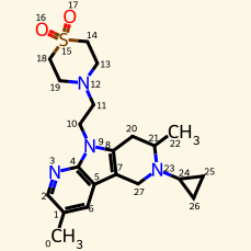 Cc1cnc2c(c1)c1c(n2CCN2CCS(=O)(=O)CC2)CC(C)N(C2CC2)C1